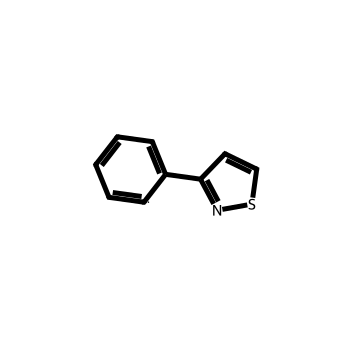 [c]1ccccc1-c1ccsn1